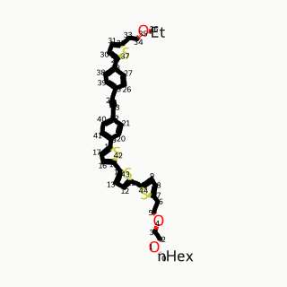 CCCCCCOCCOCCc1ccc(-c2ccc(-c3ccc(-c4ccc(C#Cc5ccc(-c6ccc(CCOCC)s6)cc5)cc4)s3)s2)s1